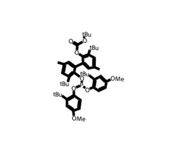 COc1ccc(OP(Oc2ccc(OC)cc2C(C)(C)C)Oc2c(-c3cc(C)cc(C(C)(C)C)c3OC(=O)OC(C)(C)C)cc(C)cc2C(C)(C)C)c(C(C)(C)C)c1